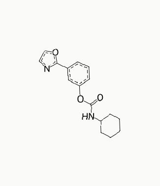 O=C(NC1CCCCC1)Oc1cccc(-c2ncco2)c1